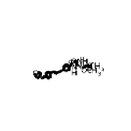 CN(C)CC(=O)NC[C@H](NC(=O)c1ccc(C#C/C=C/c2ccc(CN3CCOCC3)cc2)cc1)C(N)=O